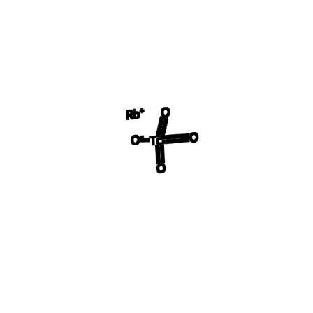 [O]=[Tc](=[O])(=[O])[O-].[Rb+]